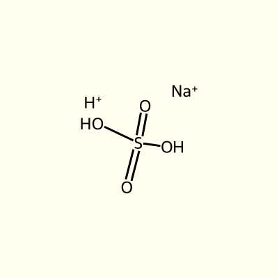 O=S(=O)(O)O.[H+].[Na+]